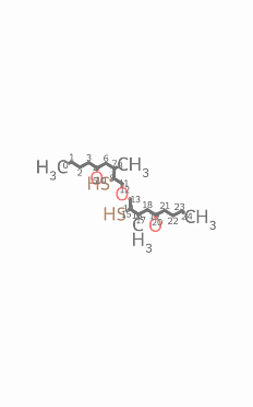 CCCCC(=O)CC(C)C(S)COCC(S)C(C)CC(=O)CCCC